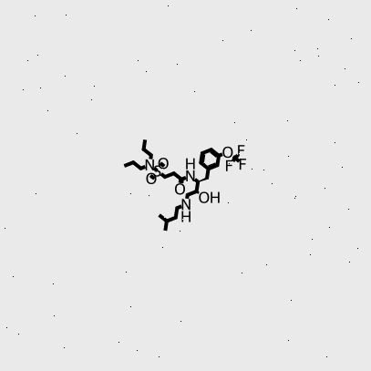 CCCN(CCC)S(=O)(=O)CCC(=O)N[C@@H](Cc1cccc(OC(F)(F)F)c1)[C@@H](O)CNCCC(C)C